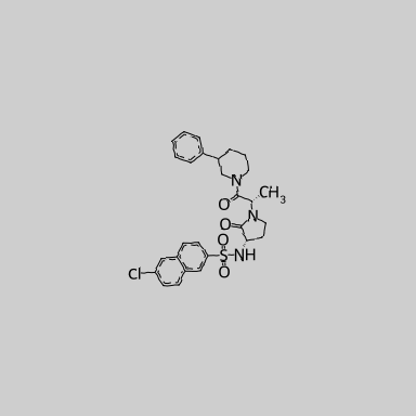 C[C@@H](C(=O)N1CCCC(c2ccccc2)C1)N1CC[C@H](NS(=O)(=O)c2ccc3cc(Cl)ccc3c2)C1=O